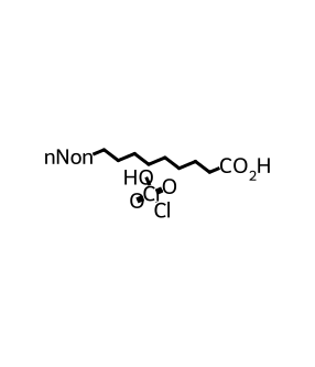 CCCCCCCCCCCCCCCCCC(=O)O.[O]=[Cr](=[O])([OH])[Cl]